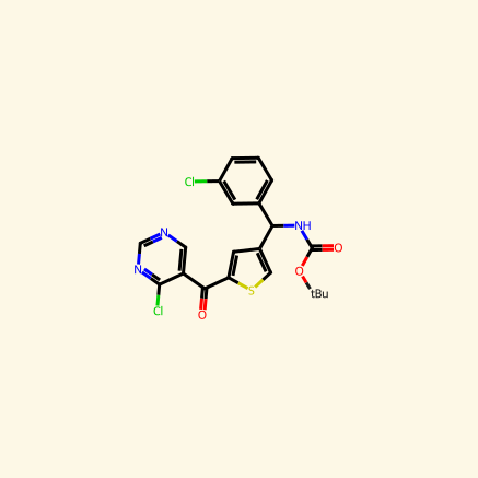 CC(C)(C)OC(=O)NC(c1cccc(Cl)c1)c1csc(C(=O)c2cncnc2Cl)c1